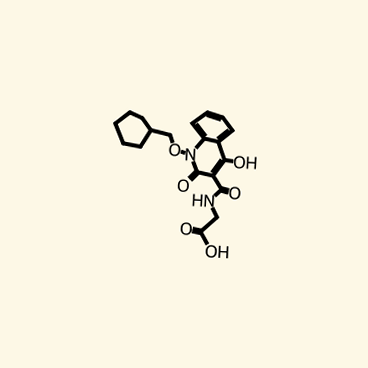 O=C(O)CNC(=O)c1c(O)c2ccccc2n(OCC2CCCCC2)c1=O